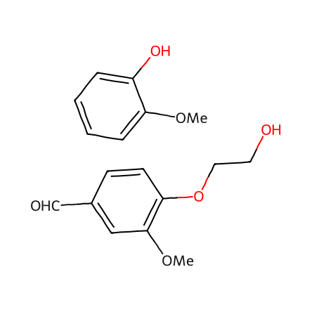 COc1cc(C=O)ccc1OCCO.COc1ccccc1O